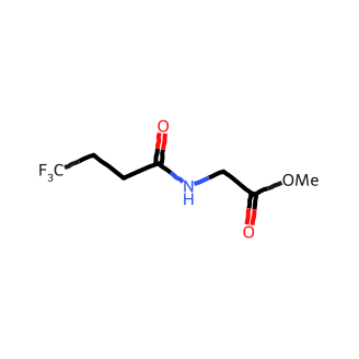 COC(=O)CNC(=O)CCC(F)(F)F